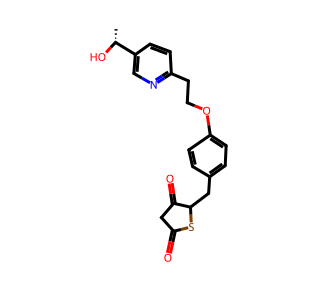 C[C@@H](O)c1ccc(CCOc2ccc(CC3SC(=O)CC3=O)cc2)nc1